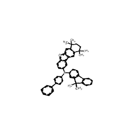 CC1(C)CCC(C)(C)c2cc3c(cc21)oc1ccc(N(c2ccc(-c4ccccc4)cc2)c2ccc4c(c2)C(C)(C)c2ccccc2-4)cc13